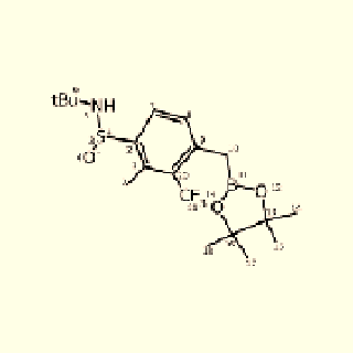 Cc1c([S+]([O-])NC(C)(C)C)ccc(CB2OC(C)(C)C(C)(C)O2)c1C(F)(F)F